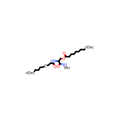 CCCCCCCCCCCCCCCCCC(=O)NC(COC(=O)CCCCCCCCCCCCCCCCC)C(=O)NC(C)(C)C